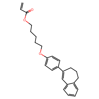 C=CC(=O)OCCCCCOc1ccc(C2=Cc3ccccc3CCC2)cc1